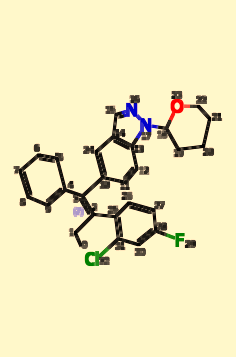 CC/C(=C(\c1[c]cccc1)c1ccc2c(cnn2C2CCCCO2)c1)c1ccc(F)cc1Cl